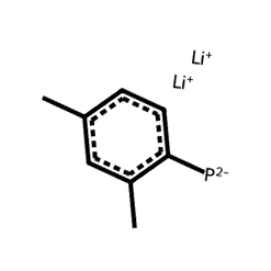 Cc1ccc([P-2])c(C)c1.[Li+].[Li+]